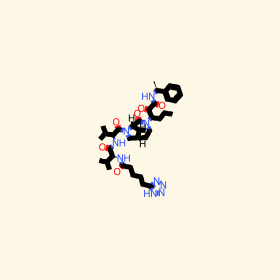 CCCC(C(=O)C(=O)N[C@H](C)c1ccccc1)N1CC[C@H]2CN(C(=O)[C@@H](NC(=O)[C@H](NC(=O)CCCCc3nnn[nH]3)C(C)C)C(C)C)[C@H](C1=O)[C@H]2C